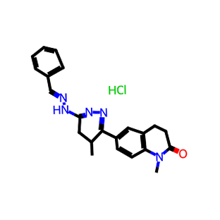 CC1CC(NN=Cc2ccccc2)=NN=C1c1ccc2c(c1)CCC(=O)N2C.Cl